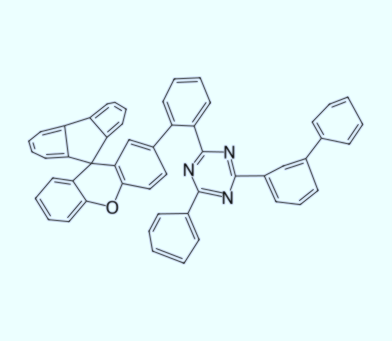 c1ccc(-c2cccc(-c3nc(-c4ccccc4)nc(-c4ccccc4-c4ccc5c(c4)C4(c6ccccc6O5)c5ccccc5-c5ccccc54)n3)c2)cc1